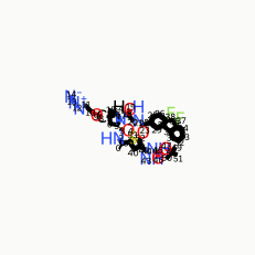 C[C@@H](NC(=O)[C@@H]1C[C@]2(COCCN=[N+]=[N-])C[C@@H]2N1C(=O)CNC(=O)c1ccc2c(c1)-c1ccccc1C2(F)F)c1cc(C(=N)NC(=O)OC(C)(C)C)cs1